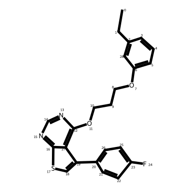 CCc1cccc(OCCCOc2ncnc3scc(-c4ccc(F)cc4)c23)c1